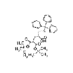 CC(C)(C)OC(=O)C(CC(CSC(c1ccccc1)(c1ccccc1)c1ccccc1)C(=O)O)C(=O)OC(C)(C)C